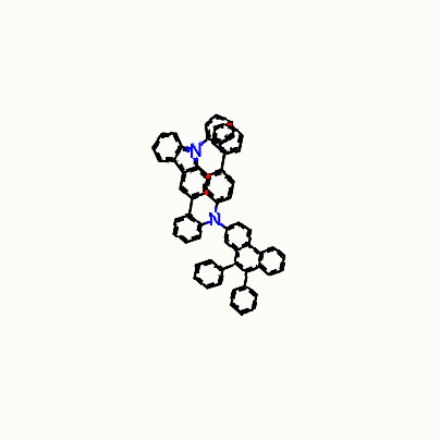 c1ccc(-c2ccc(N(c3ccc4c(c3)c(-c3ccccc3)c(-c3ccccc3)c3ccccc34)c3ccccc3-c3ccc4c(c3)c3ccccc3n4-c3ccccc3)cc2)cc1